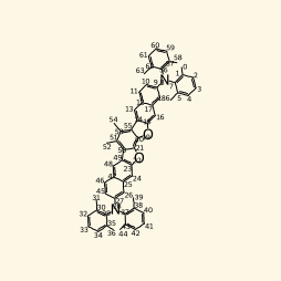 Cc1cccc(C)c1N(c1ccc2cc3c(cc2c1)oc1c2oc4cc5cc(N(c6c(C)cccc6C)c6c(C)cccc6C)ccc5cc4c2c(C)c(C)c31)c1c(C)cccc1C